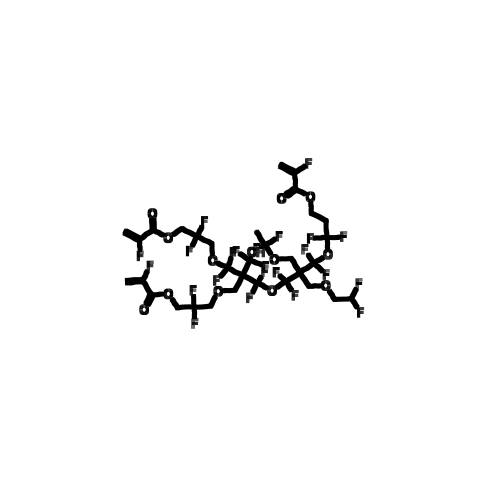 C=C(F)C(=O)OCCC(F)(F)OC(F)(F)C(COCC(F)F)(COC(C)(F)F)C(F)(F)OC(F)(F)C(COCC(F)(F)COC(=O)C(=C)F)(C(O)(F)F)C(F)(F)OCC(F)(F)COC(=O)C(=C)F